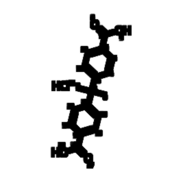 CC(C)(c1ccc(C(=O)O)cc1)c1ccc(C(=O)O)cc1.Cl